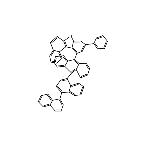 c1ccc(-c2cc(-c3c4ccccc4c(-c4ccc(-c5cccc6ccccc56)c5ccccc45)c4ccccc34)c3c(c2)oc2ccc4ccccc4c23)cc1